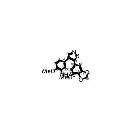 COc1ccc(-c2cnoc2-c2cc(OC)c3c(c2)OCO3)cc1NC(C)=O